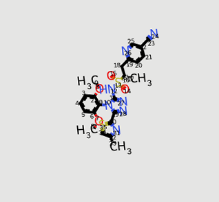 COc1cccc(OC)c1-n1c(NS(=O)(=O)[C@@H](C)Cc2ccc(C#N)cn2)nnc1-c1nc(C)cs1